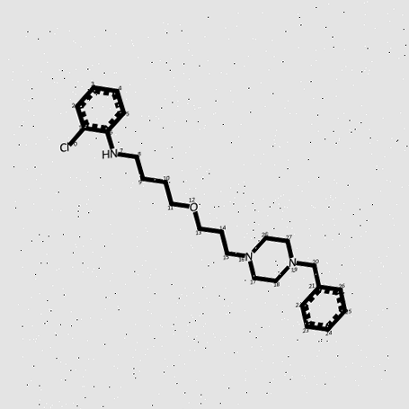 Clc1ccccc1NCCCCOCCCN1CCN(Cc2ccccc2)CC1